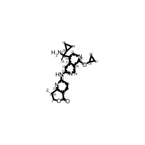 C[C@H]1COC(=O)c2ccc(Nc3cc4c([C@](C)(N)C5CC5)cnc(OC5CC5)c4cn3)nc21